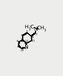 CN(C)/C=C1\C=Cc2cccnc2C1